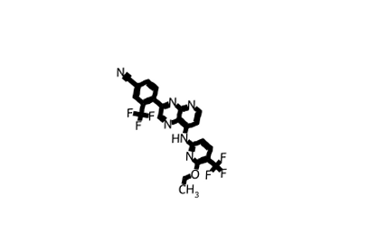 CCOc1nc(Nc2ccnc3nc(-c4ccc(C#N)cc4C(F)(F)F)cnc23)ccc1C(F)(F)F